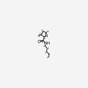 CCCCCNC(=O)C1N=CCC1C